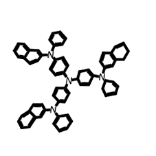 C1=CCC(N(C2=CCC(N(c3ccc(N(c4ccccc4)c4ccc5ccccc5c4)cc3)c3ccc(N(c4ccccc4)c4ccc5ccccc5c4)cc3)C=C2)c2ccc3c(c2)CCC=C3)C=C1